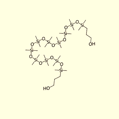 C[Si](C)(CCCO)O[Si](C)(C)O[Si](C)(C)O[Si](C)(C)O[Si](C)(C)O[Si](C)(C)O[Si](C)(C)O[Si](C)(C)O[Si](C)(C)O[Si](C)(C)O[Si](C)(C)CCCO